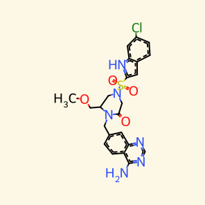 COCC1CN(S(=O)(=O)c2cc3ccc(Cl)cc3[nH]2)CC(=O)N1Cc1ccc2c(N)ncnc2c1